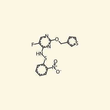 O=[N+]([O-])c1ccccc1SNc1nc(OCc2ccsc2)ncc1F